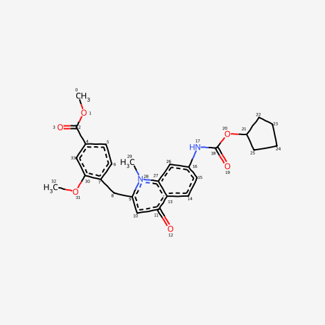 COC(=O)c1ccc(Cc2cc(=O)c3ccc(NC(=O)OC4CCCC4)cc3n2C)c(OC)c1